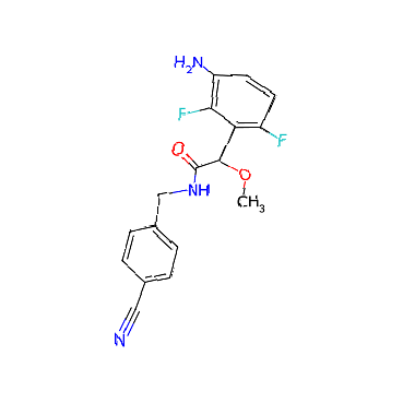 COC(C(=O)NCc1ccc(C#N)cc1)c1c(F)ccc(N)c1F